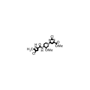 COC(=O)c1cc(N2CC[C@@H](NC(=O)c3cc(Cl)c(C)[nH]3)[C@@H](OC)C2)nc(Cl)n1